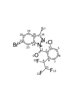 O=C(c1c(Cl)cccc1C(F)C(F)F)n1nc(I)c2ccc(Br)cc21